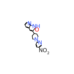 O=c1[nH]c2ncccc2cc1C1CCN(c2ccc([N+](=O)[O-])cn2)CC1